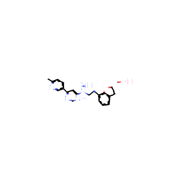 Cc1ccc(C2=NCNC(N(N)CCc3cccc4c3O[C@H](CO)C4)=C2)cn1